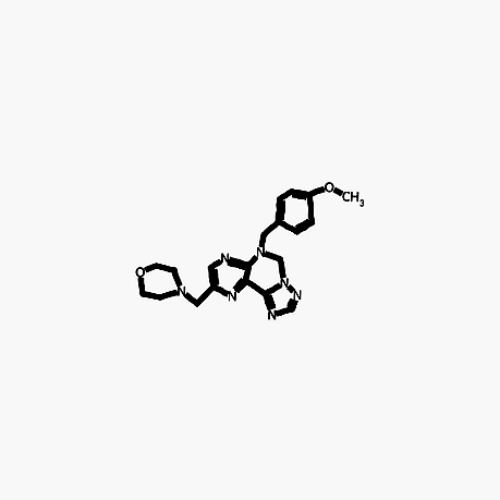 COc1ccc(CN2Cn3ncnc3-c3nc(CN4CCOCC4)cnc32)cc1